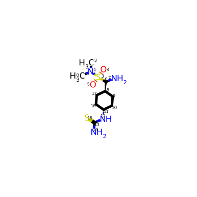 CN(C)S(=O)(=O)C(N)[C@H]1CC[C@H](NC(N)=S)CC1